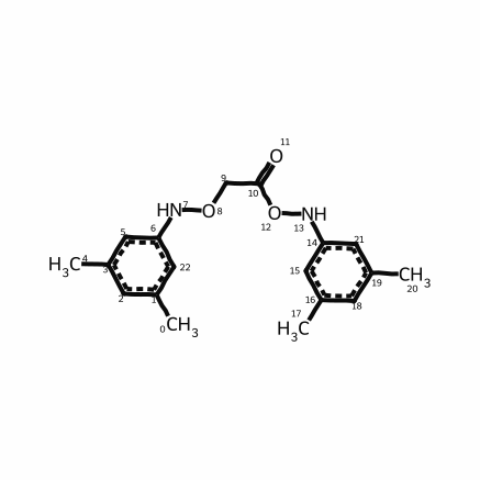 Cc1cc(C)cc(NOCC(=O)ONc2cc(C)cc(C)c2)c1